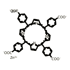 O=C([O-])c1ccc(-c2c3nc(c(-c4ccc(C(=O)[O-])cc4)c4ccc([nH]4)c(-c4ccc(C(=O)[O-])cc4)c4nc(c(-c5ccc(C(=O)[O-])cc5)c5ccc2[nH]5)C=C4)C=C3)cc1.[Zn+2].[Zn+2]